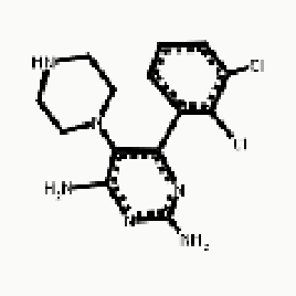 Nc1nc(N)c(N2CCNCC2)c(-c2cccc(Cl)c2Cl)n1